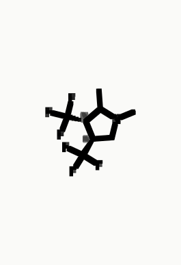 CC1[C@@H](C(F)(F)F)[C@H](C(F)(F)F)CN1C